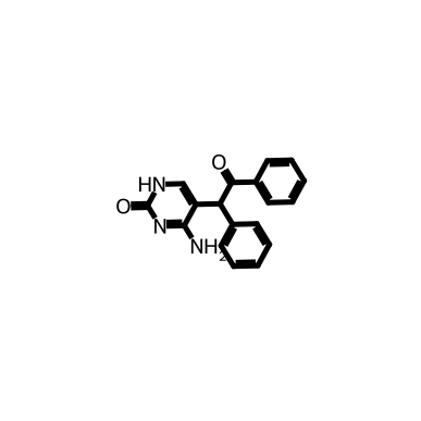 Nc1nc(=O)[nH]cc1C(C(=O)c1ccccc1)c1ccccc1